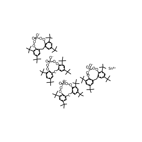 CC(C)(C)c1cc2c(c(C(C)(C)C)c1)OOP(=O)([O-])OOc1c(cc(C(C)(C)C)cc1C(C)(C)C)C2.CC(C)(C)c1cc2c(c(C(C)(C)C)c1)OOP(=O)([O-])OOc1c(cc(C(C)(C)C)cc1C(C)(C)C)C2.CC(C)(C)c1cc2c(c(C(C)(C)C)c1)OOP(=O)([O-])OOc1c(cc(C(C)(C)C)cc1C(C)(C)C)C2.CC(C)(C)c1cc2c(c(C(C)(C)C)c1)OOP(=O)([O-])OOc1c(cc(C(C)(C)C)cc1C(C)(C)C)C2.[Sn+4]